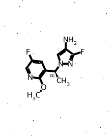 COc1ncc(F)cc1[C@H](C)n1cc(N)c(F)n1